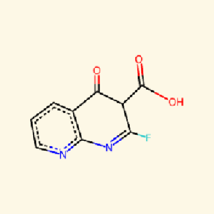 O=C(O)C1C(=O)c2cccnc2N=C1F